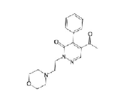 CC(=O)c1cnn(CCN2CCOCC2)c(=O)c1-c1ccccc1